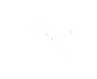 CC(=O)N1CCCC(C(=O)Nc2cc3c(c(-c4ccccc4)c2)CN(C#N)C3)C1